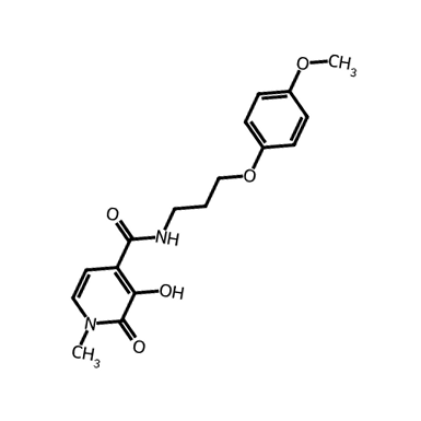 COc1ccc(OCCCNC(=O)c2ccn(C)c(=O)c2O)cc1